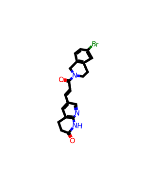 O=C1CCc2cc(/C=C/C(=O)N3CCc4cc(Br)ccc4C3)cnc2N1